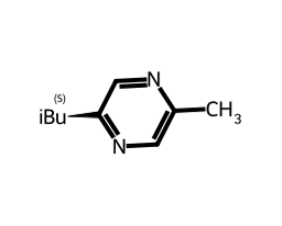 CC[C@H](C)c1cnc(C)cn1